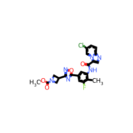 COC(=O)N1CC(c2noc(-c3cc(F)c(C)c(NC(=O)c4cnc5ccc(Cl)cn45)c3)n2)C1